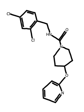 O=C(NCc1ccc(Cl)cc1Cl)N1CCC(Oc2ccccn2)CC1